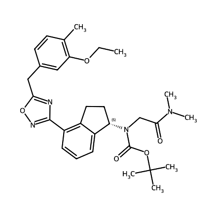 CCOc1cc(Cc2nc(-c3cccc4c3CC[C@@H]4N(CC(=O)N(C)C)C(=O)OC(C)(C)C)no2)ccc1C